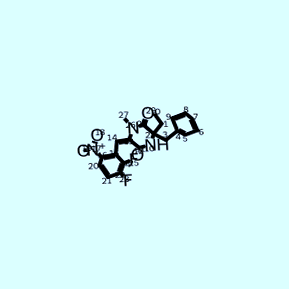 CCC1(Cc2ccccc2)NC(=O)C(=Cc2c([N+](=O)[O-])ccc(F)c2F)N(C)C1=O